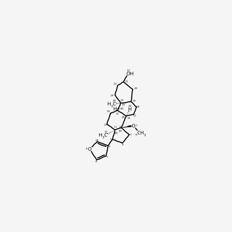 CO[C@@]12CCC(c3ccoc3)[C@@]1(C)CC[C@@H]1[C@H]2CCC2CC(O)CC[C@@]21C